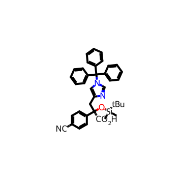 CC(C)(C)[Si](C)(C)OC(Cc1cn(C(c2ccccc2)(c2ccccc2)c2ccccc2)cn1)(C(=O)O)c1ccc(C#N)cc1